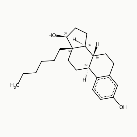 CCCCCC[C@]12CC[C@@H]3c4ccc(O)cc4CC[C@H]3[C@@H]1CC[C@@H]2O